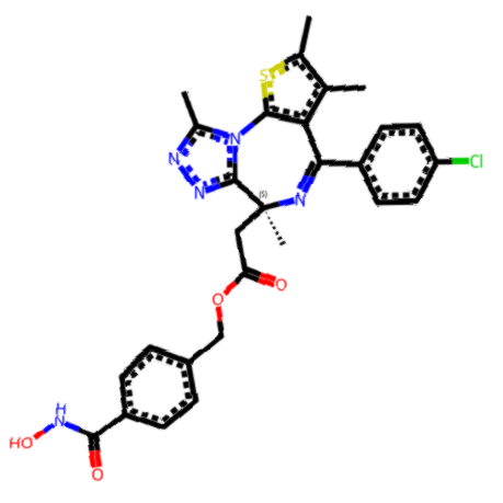 Cc1sc2c(c1C)C(c1ccc(Cl)cc1)=N[C@@](C)(CC(=O)OCc1ccc(C(=O)NO)cc1)c1nnc(C)n1-2